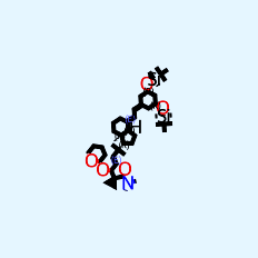 CN(C)C(=O)C1(C(/C=C/C(C)(C)[C@H]2CC[C@H]3/C(=C/C=C4C[C@@H](O[Si](C)(C)C(C)(C)C)C[C@H](O[Si](C)(C)C(C)(C)C)C4)CCC[C@]23C)OC2CCCCO2)CC1